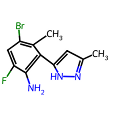 Cc1cc(-c2c(C)c(Br)cc(F)c2N)[nH]n1